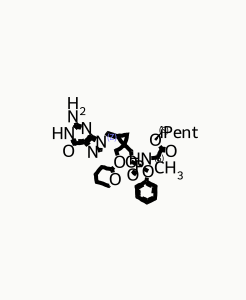 CCC[C@H](C)OC(=O)[C@H](C)NP(=O)(OCC1(COC2CCCCO2)C/C1=C/n1cnc2c(=O)[nH]c(N)nc21)Oc1ccccc1